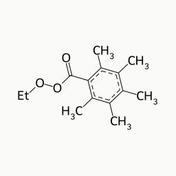 [CH2]COOC(=O)c1c(C)c(C)c(C)c(C)c1C